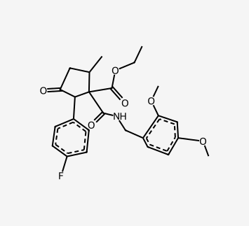 CCOC(=O)C1(C(=O)NCc2ccc(OC)cc2OC)C(C)CC(=O)C1c1ccc(F)cc1